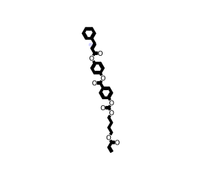 C=CC(=O)OCCCCOC(=O)Oc1ccc(C(=O)Oc2ccc(OC(=O)/C=C/c3ccccc3)cc2)cc1